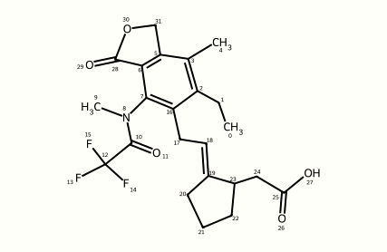 CCc1c(C)c2c(c(N(C)C(=O)C(F)(F)F)c1C/C=C1\CCCC1CC(=O)O)C(=O)OC2